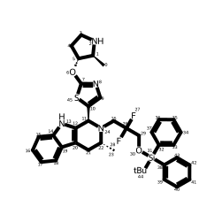 C[C@@H]1NCC[C@H]1Oc1ncc([C@@H]2c3[nH]c4ccccc4c3C[C@@H](C)N2CC(F)(F)CO[Si](c2ccccc2)(c2ccccc2)C(C)(C)C)s1